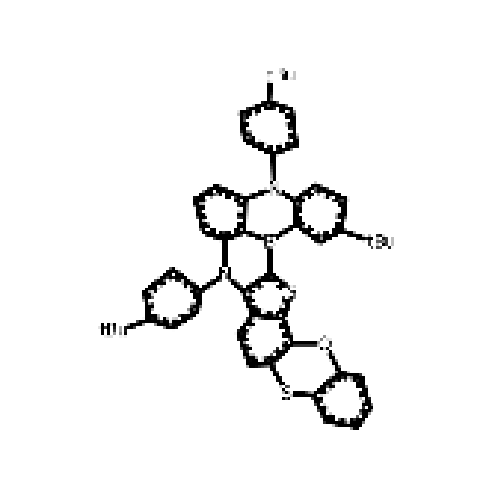 CC(C)(C)c1ccc(N2c3ccc(C(C)(C)C)cc3B3c4sc5c6c(ccc5c4N(c4ccc(C(C)(C)C)cc4)c4cccc2c43)Sc2ccccc2O6)cc1